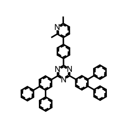 Cc1ccc(-c2ccc(-c3nc(-c4ccc(-c5ccccc5)c(-c5ccccc5)c4)nc(-c4ccc(-c5ccccc5)c(-c5ccccc5)c4)n3)cc2)c(C)n1